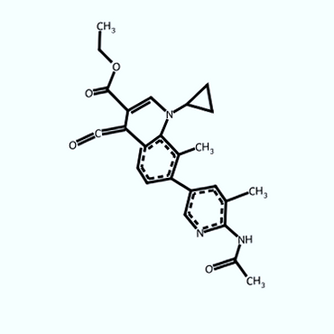 CCOC(=O)C1=CN(C2CC2)c2c(ccc(-c3cnc(NC(C)=O)c(C)c3)c2C)C1=C=O